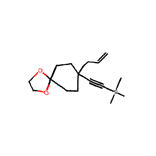 C=CCC1(C#C[Si](C)(C)C)CCC2(CC1)OCCO2